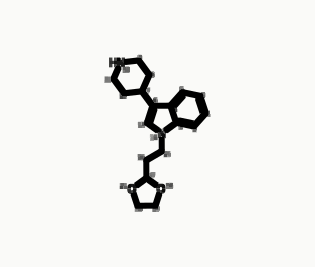 c1ccc2c(c1)c(C1CCNCC1)cn2CCC1OCCO1